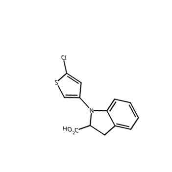 O=C(O)C1Cc2ccccc2N1c1csc(Cl)c1